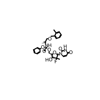 Cc1ccccc1COC[C@@H](C)NP(=O)(OC[C@H]1O[C@@H](n2ccc(=O)[nH]c2=O)C(C)(F)[C@H]1O)Oc1ccccc1